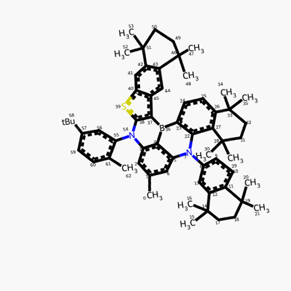 Cc1cc2c3c(c1)N(c1ccc4c(c1)C(C)(C)CCC4(C)C)c1c(ccc4c1C(C)(C)CCC4(C)C)B3c1c(sc3cc4c(cc13)C(C)(C)CCC4(C)C)N2c1cc(C(C)(C)C)ccc1C